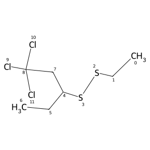 CCSSC(CC)CC(Cl)(Cl)Cl